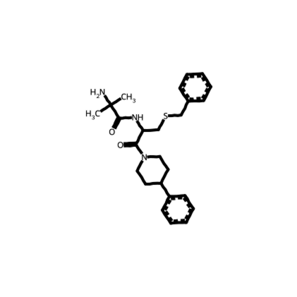 CC(C)(N)C(=O)NC(CSCc1ccccc1)C(=O)N1CCC(c2ccccc2)CC1